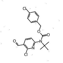 CC(C)(C)N(C(=O)OCc1ccc(Cl)cc1)c1ccc(C=O)c(Cl)n1